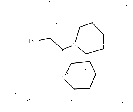 C1CCNCC1.OCCN1CCCCC1